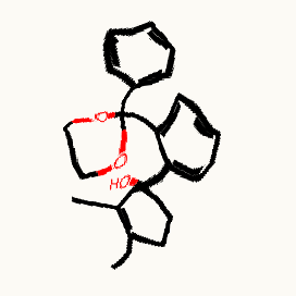 CC1=C(C)C(O)(c2ccccc2C2(c3ccccc3)OCCO2)CC1